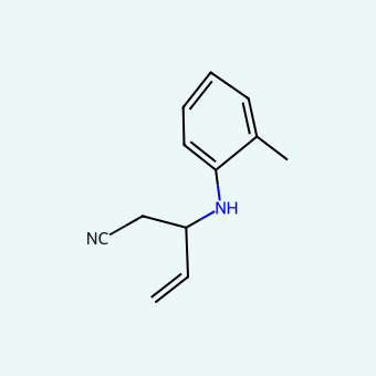 C=CC(CC#N)Nc1ccccc1C